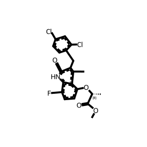 COC(=O)[C@@H](C)Oc1ccc(F)c2[nH]c(=O)c(Cc3ccc(Cl)cc3Cl)c(C)c12